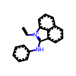 C=C[N+]1=C(Nc2ccccc2)c2cccc3cccc1c23